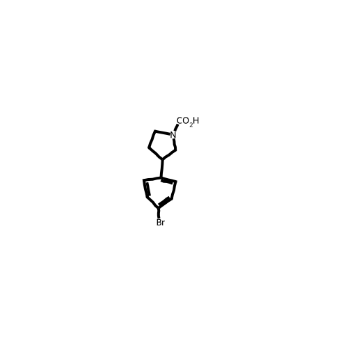 O=C(O)N1CCC(c2ccc(Br)cc2)C1